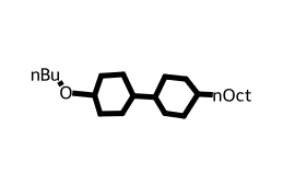 CCCCCCCCC1CCC(C2CCC(OCCCC)CC2)CC1